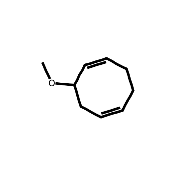 COC1/C=C\CC/C=C\C1